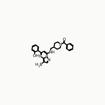 Bc1cnn2c(NCC3CCN(C(=O)c4ccccc4)CC3)cc(-c3ccccc3O)nc12